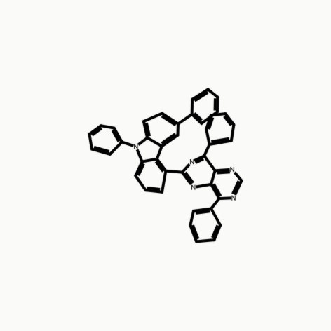 c1ccc(-c2ccc3c(c2)c2c(-c4nc(-c5ccccc5)c5ncnc(-c6ccccc6)c5n4)cccc2n3-c2ccccc2)cc1